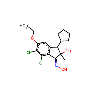 CC1(O)C(=NO)c2c(cc(OCC(=O)O)c(Cl)c2Cl)C1C1CCCC1